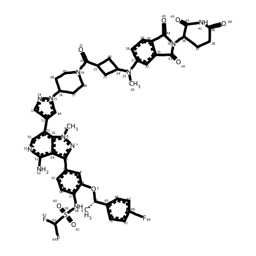 C[C@H](Oc1cc(-c2nn(C)c3c(-c4cnn(C5CCN(C(=O)C6CC(N(C)c7ccc8c(c7)C(=O)N(C7CCC(=O)NC7=O)C8=O)C6)CC5)c4)cnc(N)c23)ccc1NS(=O)(=O)C(F)F)c1ccc(F)cc1